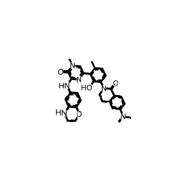 Cc1ccc(N2CCc3cc(N(C)C)ccc3C2=O)c(O)c1-c1cn(C)c(=O)c(Nc2ccc3c(c2)NCCO3)n1